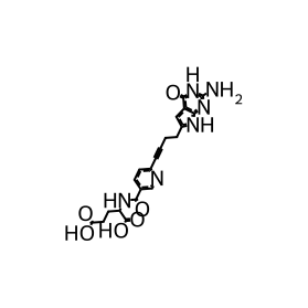 Nc1nc2[nH]c(CCC#Cc3ccc(C(=O)NC(CCC(=O)O)C(=O)O)cn3)cc2c(=O)[nH]1